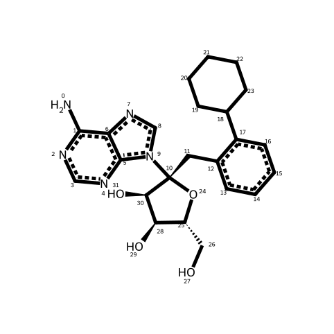 Nc1ncnc2c1ncn2[C@]1(Cc2ccccc2C2CCCCC2)O[C@H](CO)[C@@H](O)[C@H]1O